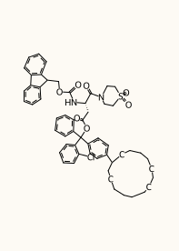 O=C(C[C@H](NC(=O)OCC1c2ccccc2-c2ccccc21)C(=O)N1CCS(=O)(=O)CC1)OC(c1ccccc1)(c1ccc(C2CCCCCCCCCCCCC2)cc1)c1ccccc1Cl